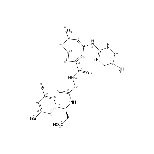 CC1\C=C(NC2=NCC(O)CN2)/C=C(C(=O)NCC(=O)N[C@@H](CC(=O)O)c2cc(Br)cc(C(C)(C)C)c2)\C=C\C1